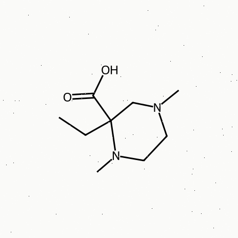 CCC1(C(=O)O)CN(C)CCN1C